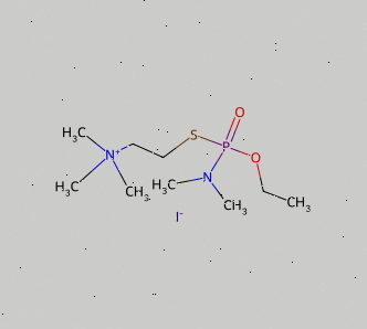 CCOP(=O)(SCC[N+](C)(C)C)N(C)C.[I-]